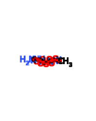 Cc1ccc(NC(=O)c2ccc3c(c2)C(=O)N(c2ccc(Oc4ccc(N5C(=O)c6ccc(C(=O)Nc7ccc(N)nc7)cc6C5=O)cc4)cc2)C3=O)cn1